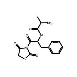 CC(N)C(=O)NC(Cc1ccccc1)C(=O)N1C(=O)CSC1=S